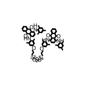 Cc1cc(C)c(Nc2ccc(Nc3c(C)cc(OCCC[Si](C)(C)O[Si](C)(C)O[Si](C)(C)CCCOc4cc(C)c(Nc5ccc(Nc6c(C)cc(C)cc6C)c6c5C(=O)c5ccccc5C6=O)c(C)c4)cc3C)c3c2C(=O)c2ccccc2C3=O)c(C)c1